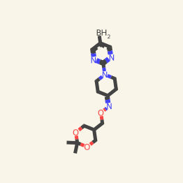 Bc1cnc(N2CCC(=NOCC3COC(C)(C)OC3)CC2)nc1